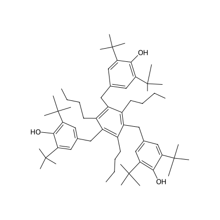 CCCCc1c(Cc2cc(C(C)(C)C)c(O)c(C(C)(C)C)c2)c(CCCC)c(Cc2cc(C(C)(C)C)c(O)c(C(C)(C)C)c2)c(CCCC)c1Cc1cc(C(C)(C)C)c(O)c(C(C)(C)C)c1